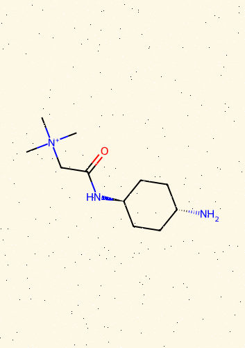 C[N+](C)(C)CC(=O)N[C@H]1CC[C@H](N)CC1